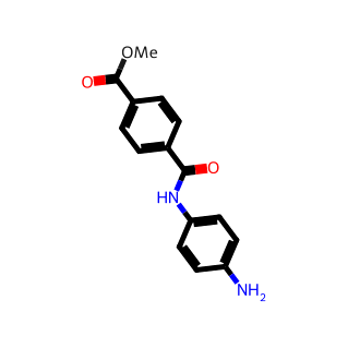 COC(=O)c1ccc(C(=O)Nc2ccc(N)cc2)cc1